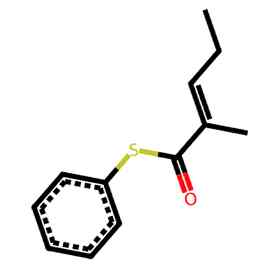 CCC=C(C)C(=O)Sc1ccccc1